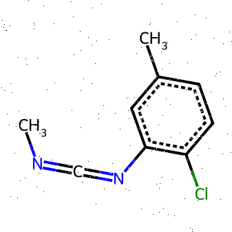 CN=C=Nc1cc(C)ccc1Cl